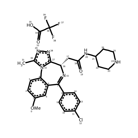 COc1ccc2c(c1)C(c1ccc(Cl)cc1)=N[C@@H](CC(=O)NC1CCNCC1)c1nnc(C)n1-2.O=C(O)C(F)(F)F